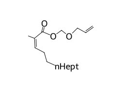 C=CCOCOC(=O)C(C)=CCCCCCCCCC